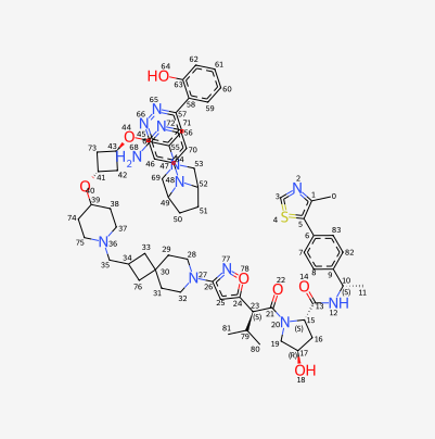 Cc1ncsc1-c1ccc([C@H](C)NC(=O)[C@@H]2C[C@@H](O)CN2C(=O)[C@H](c2cc(N3CCC4(CC3)CC(CN3CCC(O[C@H]5C[C@H](Oc6cc(N7C8CCC7CN(c7cc(-c9ccccc9O)nnc7N)C8)ccn6)C5)CC3)C4)no2)C(C)C)cc1